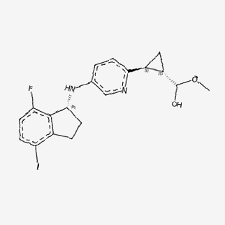 COC(O)[C@H]1C[C@@H]1c1ccc(N[C@@H]2CCc3c(I)ccc(F)c32)cn1